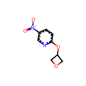 O=[N+]([O-])c1ccc(OC2COC2)nc1